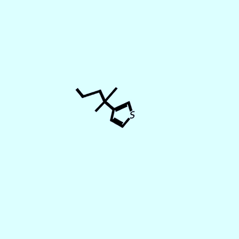 CCCC(C)(C)c1ccsc1